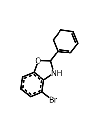 Brc1cccc2c1NC(C1=CC=CCC1)O2